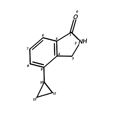 O=C1NCc2c1cccc2C1CC1